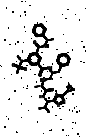 CC(C)[C@H](NC(=O)[C@H](C)NC[C@H](Cc1ccccc1)NC(=O)c1cc(C(=O)N[C@H](C)c2ccccc2)cc(N(C)S(C)(=O)=O)c1)c1nc(C2CC2)no1